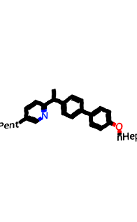 CCCCCCCOc1ccc(-c2ccc(C(C)c3ccc(CCCCC)cn3)cc2)cc1